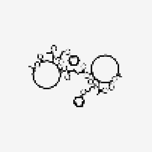 CC(=O)N(CCOc1ccccc1)C1CC(=O)O[C@H](C)CCCCCCCCC[C@H](OC(=O)CCC(=O)O[C@H]2CCCCCCCCC[C@@H](C)OC(=O)CC(N(CCOc3ccccc3)C(C)=O)C2=O)C1=O